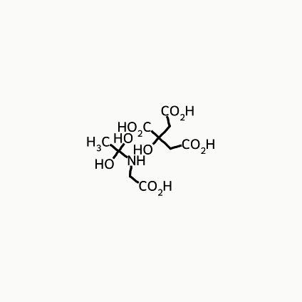 CC(O)(O)NCC(=O)O.O=C(O)CC(O)(CC(=O)O)C(=O)O